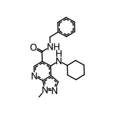 Cn1ncc2c(NC3CCCCC3)c(C(=O)NCc3ccccc3)cnc21